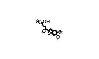 COc1cc2sc(C(=O)CCC(O)=C=O)cc2cc1Br